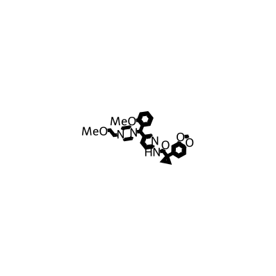 COCCN1CCN(C(c2ccc(NC(=O)C3(c4ccc5c(c4)OCO5)CC3)nc2)c2ccccc2OC)CC1